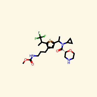 COC(=O)NCCCc1cc(C(C)N(C(=O)[C@H]2CNCCO2)C2CC2)sc1C(C)C(F)(F)F